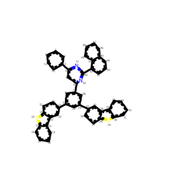 c1ccc(-c2cc(-c3cc(-c4ccc5sc6ccccc6c5c4)cc(-c4ccc5sc6ccccc6c5c4)c3)nc(-c3cccc4ccccc34)n2)cc1